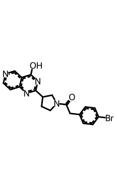 O=C(Cc1ccc(Br)cc1)N1CCC(c2nc(O)c3cnccc3n2)C1